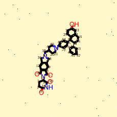 O=C1CC[C@@H](N2C(=O)c3cc4c(cc3C2=O)CN(CC2CCN(c3ccc([C@@H]5c6ccc(O)cc6CC[C@@H]5c5ccccc5)cc3)CC2)C4)C(=O)N1